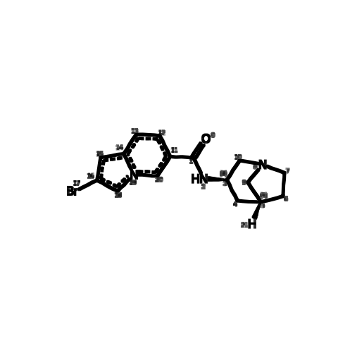 O=C(N[C@@H]1C[C@H]2CCN(C2)C1)c1ccc2cc(Br)cn2c1